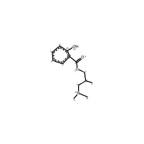 CC(COC(=O)c1ccccc1O)CN(C)C